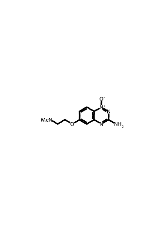 CNCCOc1ccc2c(c1)nc(N)n[n+]2[O-]